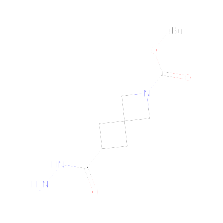 CC(C)(C)OC(=O)N1CC2(CC(C(=O)NN)C2)C1